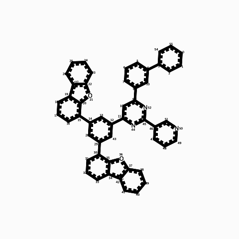 c1ccc(-c2cccc(-c3cc(-c4cc(-c5cccc6c5oc5ccccc56)cc(-c5cccc6c5oc5ccccc56)c4)nc(-c4cccnc4)n3)c2)cc1